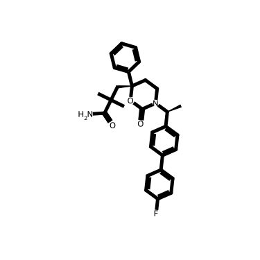 C[C@@H](c1ccc(-c2ccc(F)cc2)cc1)N1CC[C@@](CC(C)(C)C(N)=O)(c2ccccc2)OC1=O